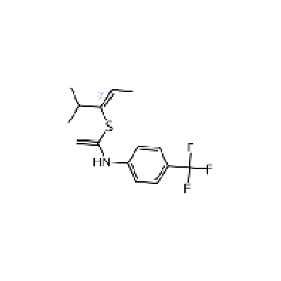 C=C(Nc1ccc(C(F)(F)F)cc1)S/C(=C\C)C(C)C